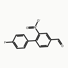 O=Cc1ccc(-c2ccc(F)cc2)c([N+](=O)[O-])c1